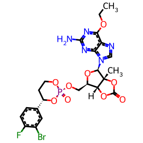 CCOc1nc(N)nc2c1ncn2[C@@H]1O[C@H](CO[P@@]2(=O)OCC[C@@H](c3ccc(F)c(Br)c3)O2)[C@H]2OC(=O)O[C@]21C